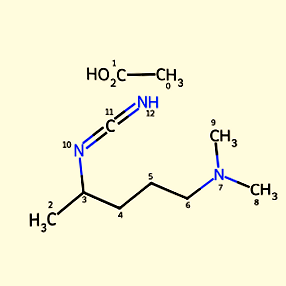 CC(=O)O.CC(CCCN(C)C)N=C=N